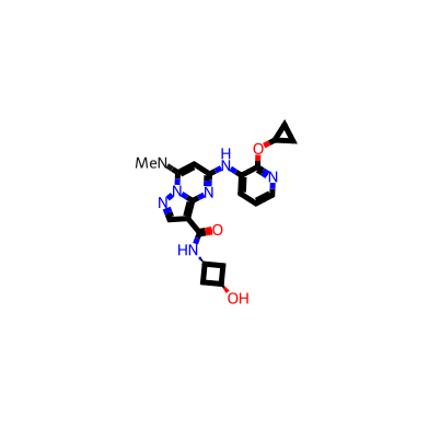 CNc1cc(Nc2cccnc2OC2CC2)nc2c(C(=O)N[C@H]3C[C@H](O)C3)cnn12